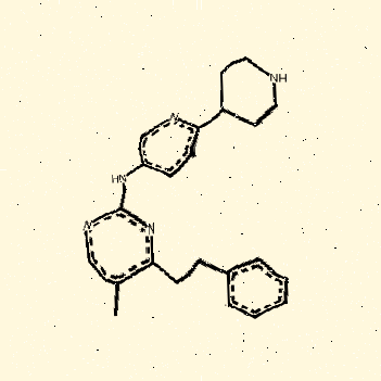 Cc1cnc(Nc2ccc(C3CCNCC3)nc2)nc1CCc1[c]cccc1